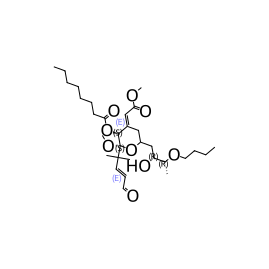 CCCCCCCC(=O)O[C@H]1/C(=C/C(=O)OC)CC(C[C@@H](O)[C@@H](C)OCCCC)O[C@@]1(OC)C(C)(C)/C=C/C=O